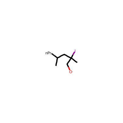 CCCC(C)CC(C)(I)C[O]